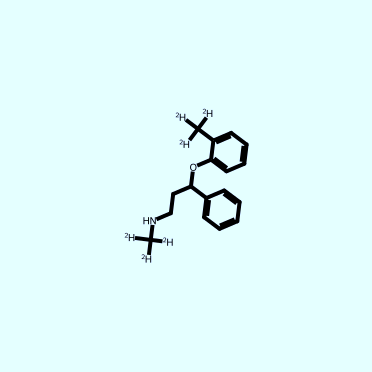 [2H]C([2H])([2H])NCCC(Oc1ccccc1C([2H])([2H])[2H])c1ccccc1